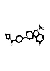 CC(=O)N1CC2(CCN(C3CCC(C(=O)N4CCC4)CC3)CC2)c2cc(F)ccc21